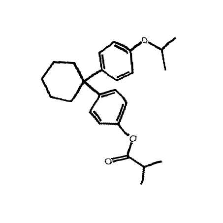 CC(C)Oc1ccc(C2(c3ccc(OC(=O)C(C)C)cc3)CCCCC2)cc1